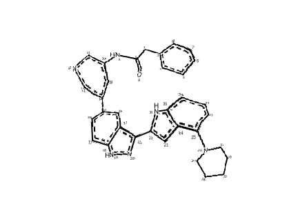 O=C(Cc1ccccc1)Nc1cncc(-c2ccc3[nH]nc(-c4cc5c(N6CCCCC6)cccc5[nH]4)c3c2)c1